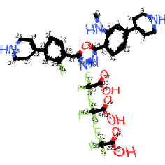 CNc1cc(C2=CCNCC2)ccc1-c1nnc(-c2ccc(C3=CCNCC3)cc2F)o1.O=C(O)C(F)(F)F.O=C(O)C(F)(F)F.O=C(O)C(F)(F)F